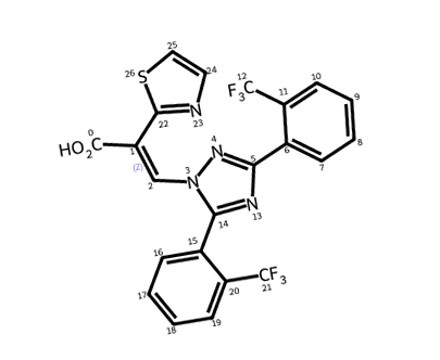 O=C(O)/C(=C/n1nc(-c2ccccc2C(F)(F)F)nc1-c1ccccc1C(F)(F)F)c1nccs1